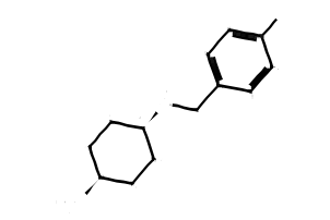 CCOC(=O)[C@H]1CC[C@@H](OCc2ccc(Cl)cc2)CC1